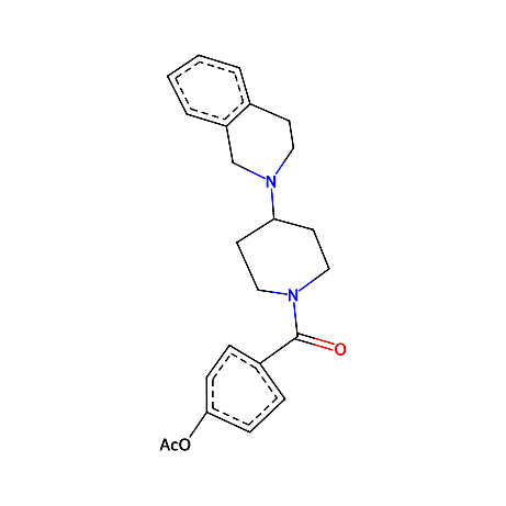 CC(=O)Oc1ccc(C(=O)N2CCC(N3CCc4ccccc4C3)CC2)cc1